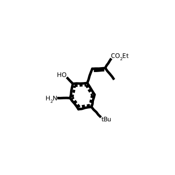 CCOC(=O)/C(C)=C/c1cc(C(C)(C)C)cc(N)c1O